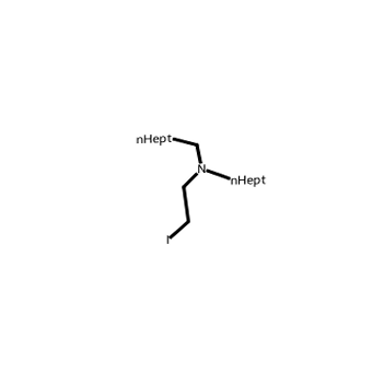 CCCCCCCCN(CCI)CCCCCCC